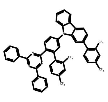 FC(F)(F)c1ccc(-c2ccc3c4ccccc4n(-c4ccc(-c5nc(-c6ccccc6)nc(-c6ccccc6)n5)c(-c5ccc(C(F)(F)F)cc5C(F)(F)F)c4)c3c2)c(C(F)(F)F)c1